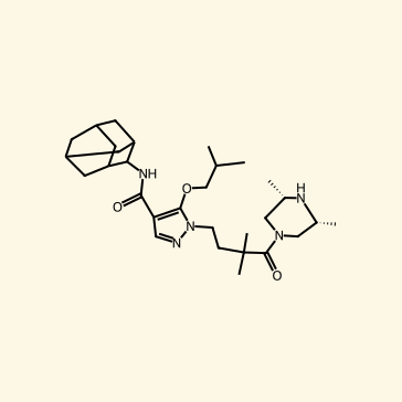 CC(C)COc1c(C(=O)NC2C3CC4CC(C3)CC2C4)cnn1CCC(C)(C)C(=O)N1C[C@@H](C)N[C@@H](C)C1